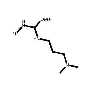 CCNC(NCCCN(C)C)OC